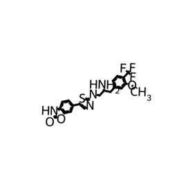 COc1cc(CC(N)CNc2ncc(-c3ccc4[nH]c(=O)oc4c3)s2)ccc1C(F)(F)F